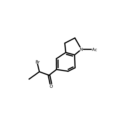 CC(=O)N1CCc2cc(C(=O)C(C)Br)ccc21